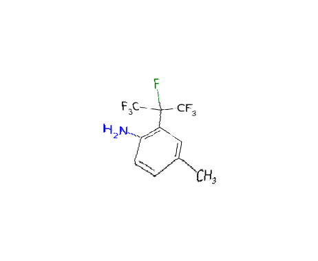 Cc1ccc(N)c(C(F)(C(F)(F)F)C(F)(F)F)c1